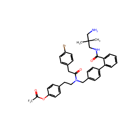 CC(C)(CN)CNC(=O)c1ccccc1-c1ccc(CN(CCc2ccc(OC(=O)C(F)(F)F)cc2)C(=O)Cc2ccc(Br)cc2)cc1